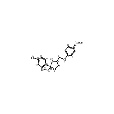 COc1ccc(OCC2COC(CBr)(c3ccc(Cl)cc3)O2)cc1